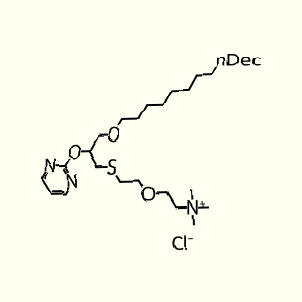 CCCCCCCCCCCCCCCCCCOCC(CSCCOCC[N+](C)(C)C)Oc1ncccn1.[Cl-]